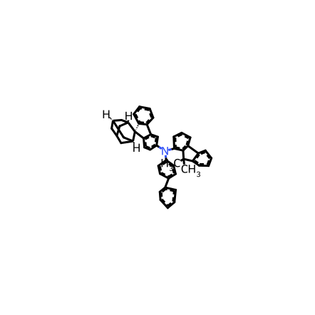 CC1(C)c2ccccc2-c2cccc(N(c3ccc(-c4ccccc4)cc3)c3ccc4c(c3)-c3ccccc3[C@]43[C@@H]4CC5C[C@@H](C4)C[C@@H]3C5)c21